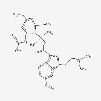 COc1ccc2c(c1)c(CCN(C)C)cn2C(=O)CC(C)(C)c1c(C)cc(C)cc1OC(=O)C(C)(C)C